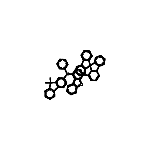 CC1(C)c2ccccc2-c2ccc(N(c3ccccc3)c3ccc(C4=CC=CC5c6ccccc6C6(c7ccccc7-c7ccccc76)C45)c4oc5ccccc5c34)cc21